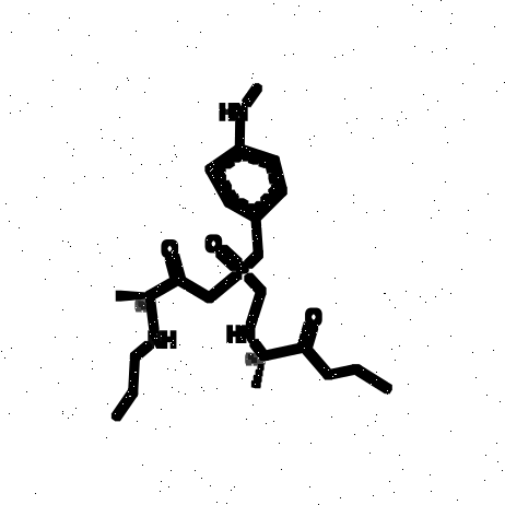 CCCN[C@@H](C)C(=O)CP(=O)(CN[C@@H](C)C(=O)CCC)Cc1ccc(NC)cc1